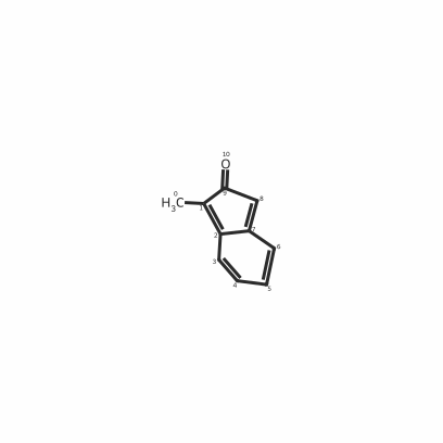 CC1=c2ccccc2=CC1=O